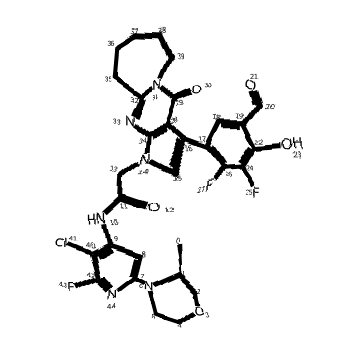 C[C@H]1COCCN1c1cc(NC(=O)Cn2cc(-c3cc(C=O)c(O)c(F)c3F)c3c(=O)n4c(nc32)CCCCC4)c(Cl)c(F)n1